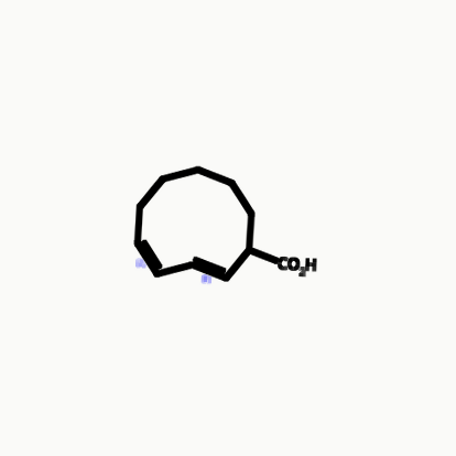 O=C(O)C1/C=C/C=C\CCCCC1